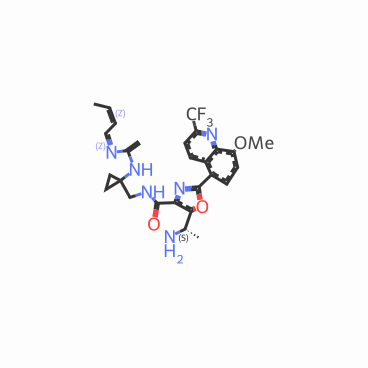 C=C(/N=C\C=C/C)NC1(CNC(=O)c2nc(-c3ccc(OC)c4nc(C(F)(F)F)ccc34)oc2[C@H](C)N)CC1